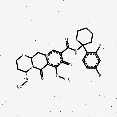 CC[C@@H]1CCOC2Cn3cc(C(=O)NC4(c5ccc(F)cc5F)CCCCC4)c(=O)c(OC)c3C(=O)N21